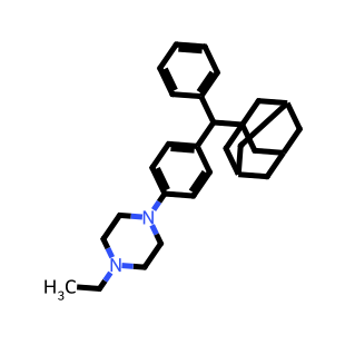 CCN1CCN(c2ccc(C(c3ccccc3)C34CC5CC(CC(C5)C3)C4)cc2)CC1